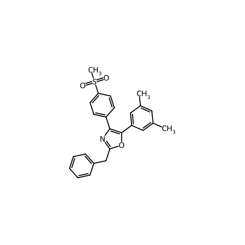 Cc1cc(C)cc(-c2oc(Cc3ccccc3)nc2-c2ccc(S(C)(=O)=O)cc2)c1